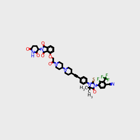 CC1(C)C(=O)N(c2ccc(C#N)c(C(F)(F)F)c2F)C(=S)N1c1ccc(C#CC2CCN(C3CCN(C(=O)COc4cccc5c4C(=O)N(C4CCC(=O)NC4=O)C5=O)CC3)CC2)cc1